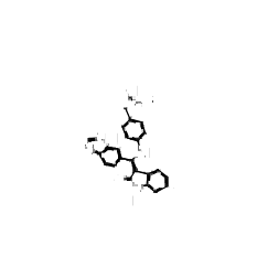 CN(C)Cc1ccc(NC(=C2C(=O)Nc3ccccc32)c2ccc3nc[nH]c3c2)cc1